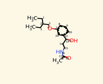 CCC(CC)COc1cccc(C(O)CCNC(C)=O)c1